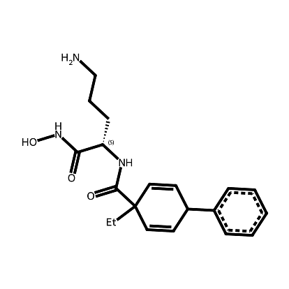 CCC1(C(=O)N[C@@H](CCCN)C(=O)NO)C=CC(c2ccccc2)C=C1